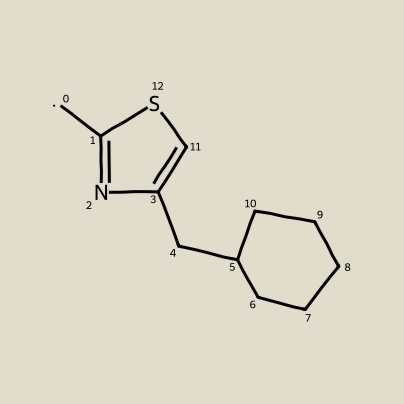 [CH2]c1nc(CC2CCCCC2)cs1